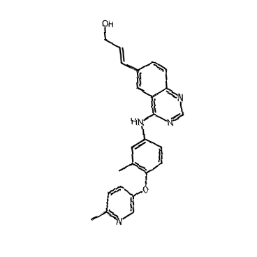 Cc1ccc(Oc2ccc(Nc3ncnc4ccc(C=CCO)cc34)cc2C)cn1